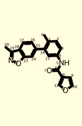 Cc1ccc(NC(=O)c2ccoc2)cc1-c1ccc2c(C)noc2c1